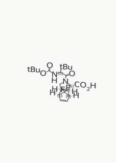 CC(C)(C)OC(=O)N[C@H](C(=O)N1C[C@H]2[C@@H]([C@H]1C(=O)O)[C@H]1C=C[C@@H]2C1(F)F)C(C)(C)C